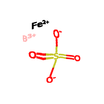 O=S(=O)([O-])[O-].[B+3].[Fe+2]